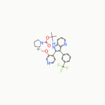 CC(C)(C)OC(=O)N1CCC[C@H]1COc1cnccc1-c1[nH]c2cccnc2c1-c1cccc(C(F)(F)F)c1